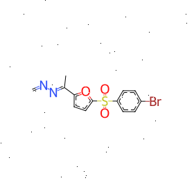 C=N/N=C(\C)c1ccc(S(=O)(=O)c2ccc(Br)cc2)o1